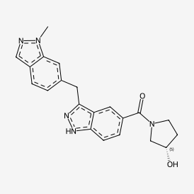 Cn1ncc2ccc(Cc3n[nH]c4ccc(C(=O)N5CC[C@H](O)C5)cc34)cc21